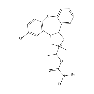 CCN(CC)C(=O)OC(C)[N+]1(C)CC2c3ccccc3Oc3ccc(Cl)cc3C2C1